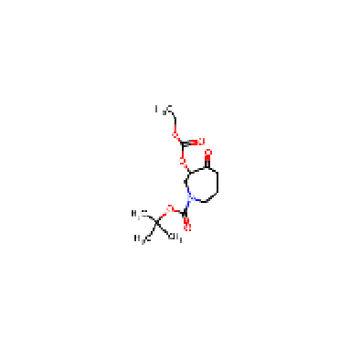 CCOC(=O)OC1CN(C(=O)OC(C)(C)C)CCCC1=O